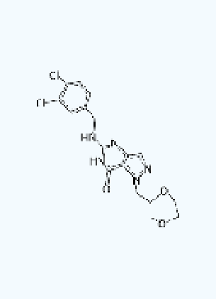 O=c1[nH]c(NCc2ccc(Cl)c(Cl)c2)nc2cnn(CC3COCCO3)c12